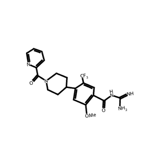 COc1cc(C2CCN(C(=O)c3ccccn3)CC2)c(C(F)(F)F)cc1C(=O)NC(=N)N